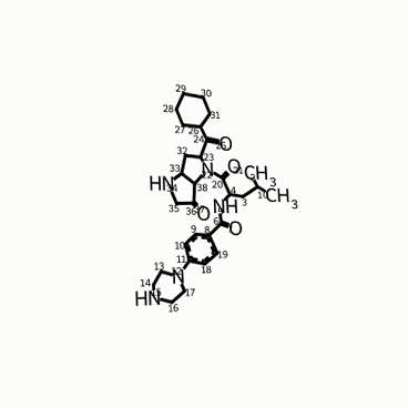 CC(C)CC(NC(=O)c1ccc(N2CCNCC2)cc1)C(=O)N1C(C(=O)C2CCCCC2)CC2NCC(=O)C21